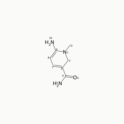 CN1CC(C(N)=O)=CC=C1N